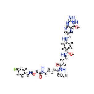 Nc1nc2ncc(CNc3ccc(C(=O)NCCCC(=O)N[C@@H](CCCCNC(=O)CO/N=C/c4ccc(F)cc4)C(=O)O)cc3)nc2c(=O)[nH]1